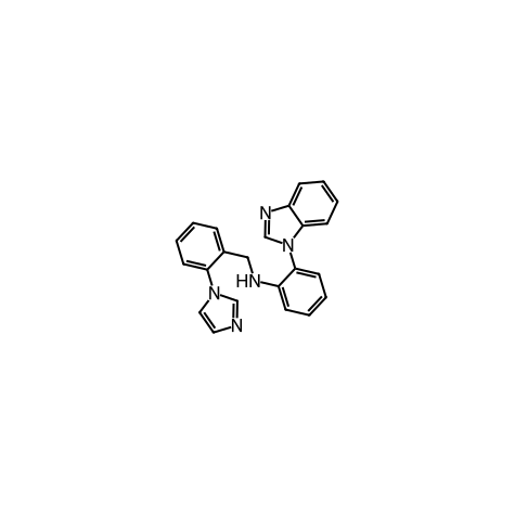 c1ccc(-n2ccnc2)c(CNc2ccccc2-n2cnc3ccccc32)c1